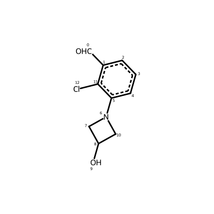 O=Cc1cccc(N2CC(O)C2)c1Cl